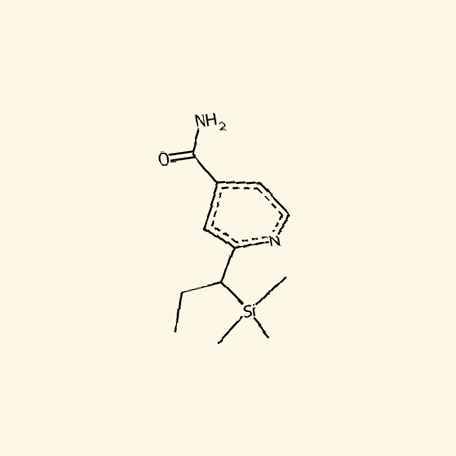 CCC(c1cc(C(N)=O)ccn1)[Si](C)(C)C